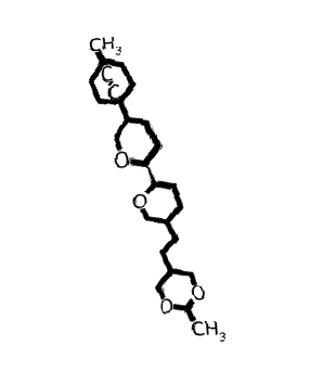 CC1OCC(CCC2CCC([C@@H]3CCC(C45CCC(C)(CC4)CC5)CO3)OC2)CO1